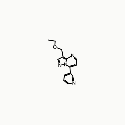 CCOCc1cnn2c(-c3cccnc3)ccnc12